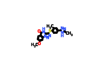 COc1ccc2c(=O)[nH]c3c(Sc4ccc(-c5nnc(C)[nH]5)cc4C)nnn3c2c1